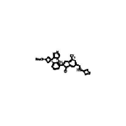 CO[C@H]1C[C@](c2cccc(N3Cc4c(cc(CNC5COC5)cc4C(F)(F)F)C3=O)c2)(c2nncn2C)C1